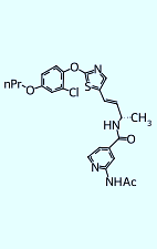 CCCOc1ccc(Oc2ncc(/C=C/[C@H](C)NC(=O)c3ccnc(NC(C)=O)c3)s2)c(Cl)c1